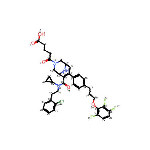 O=C(O)CCCC(=O)N1CC2CC(c3ccc(CCCOc4c(F)ccc(F)c4F)cc3)=C(C(=O)N(CCc3ccccc3Cl)C3CC3)C(C1)N2